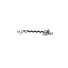 C=COCCCCCCCCCCOP(=O)(O)O